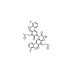 C[S+]([O-])CCn1c(=O)c(-c2cccc(F)c2Cl)cn(C(C(=O)O)n2cc(-c3cccc(F)c3Cl)c(=O)n(CC[S+](C)[O-])c2=O)c1=O